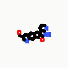 O=Cc1cnc2cc3c(cc2c1)CC1(C3)C(=O)Nc2ncccc21